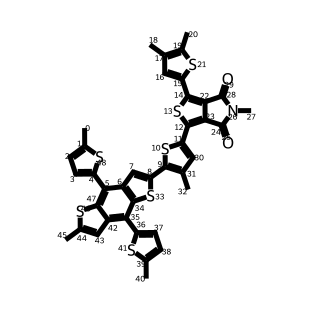 Cc1ccc(-c2c3cc(-c4sc(-c5sc(-c6cc(C)c(C)s6)c6c5C(=O)N(C)C6=O)cc4C)sc3c(-c3ccc(C)s3)c3cc(C)sc23)s1